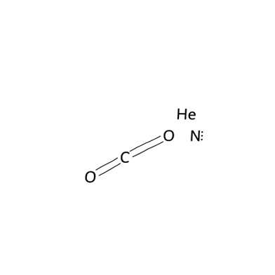 O=C=O.[He].[N]